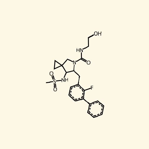 CS(=O)(=O)NC1C(Cc2cccc(-c3ccccc3)c2F)N(C(=O)NCCO)CC12CC2